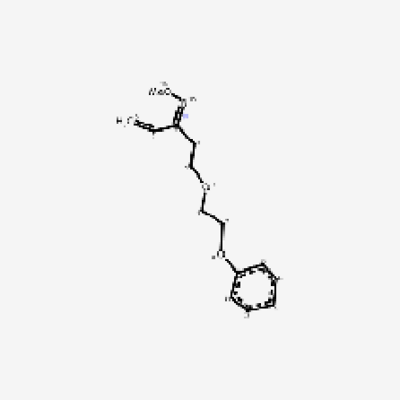 C=C/C(CCOCCOc1ccccc1)=N\OC